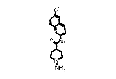 NN1CCC(C(=O)Nc2ccc3cc(Cl)ccc3n2)CC1